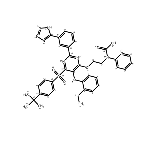 COc1ccccc1Oc1c(OCCN(C(=O)O)c2ccccn2)nc(-c2cccc(-c3nnn[nH]3)c2)nc1S(=O)(=O)c1ccc(C(C)(C)C)cc1